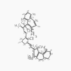 C=C(/C=C/C1=C(Cl)C(=C/C=C2/N(C(C)CC)c3ccc4ccccc4c3C2(C)C)/CCC1)C(C)(C)c1c(C)ccc2ccccc12